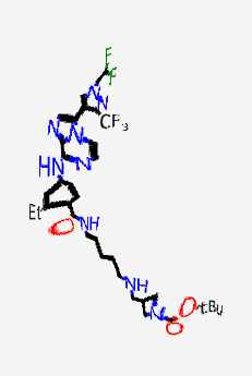 CCc1cc(Nc2nccn3c(-c4cn(CC(F)F)nc4C(F)(F)F)cnc23)ccc1C(=O)NCCCCCNCC1CN(C(=O)OC(C)(C)C)C1